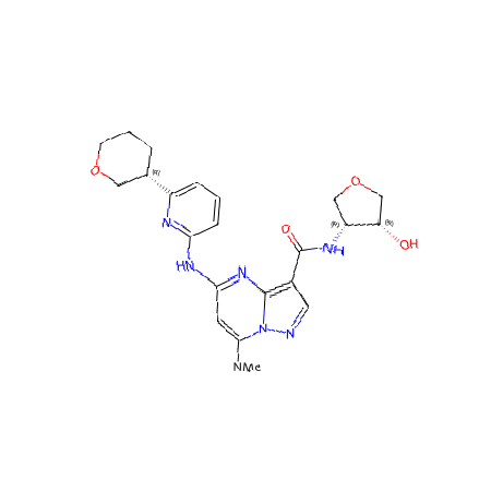 CNc1cc(Nc2cccc([C@H]3CCCOC3)n2)nc2c(C(=O)N[C@@H]3COC[C@@H]3O)cnn12